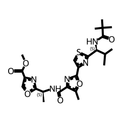 COC(=O)c1coc([C@H](C)NC(=O)c2nc(-c3csc([C@@H](NC(=O)C(C)(C)C)C(C)C)n3)oc2C)n1